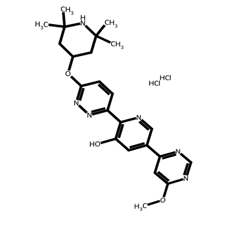 COc1cc(-c2cnc(-c3ccc(OC4CC(C)(C)NC(C)(C)C4)nn3)c(O)c2)ncn1.Cl.Cl